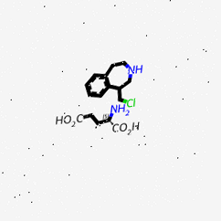 ClCC1CNCCc2ccccc21.N[C@@H](CCC(=O)O)C(=O)O